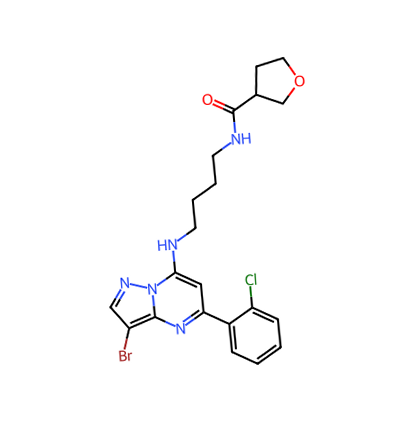 O=C(NCCCCNc1cc(-c2ccccc2Cl)nc2c(Br)cnn12)C1CCOC1